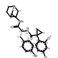 O=C(NC1CN2CCC1CC2)[C@@H](Cc1ccc(Br)cc1)NC(=O)C1(c2ccc(Cl)cc2Cl)CC1